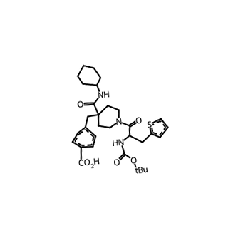 CC(C)(C)OC(=O)NC(Cc1cccs1)C(=O)N1CCC(Cc2ccc(C(=O)O)cc2)(C(=O)NC2CCCCC2)CC1